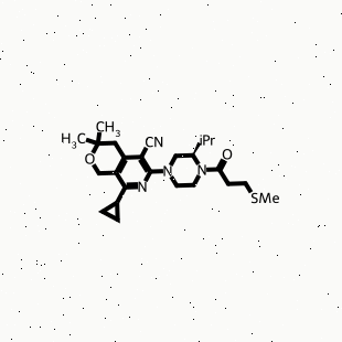 CSCCC(=O)N1CCN(c2nc(C3CC3)c3c(c2C#N)CC(C)(C)OC3)C[C@H]1C(C)C